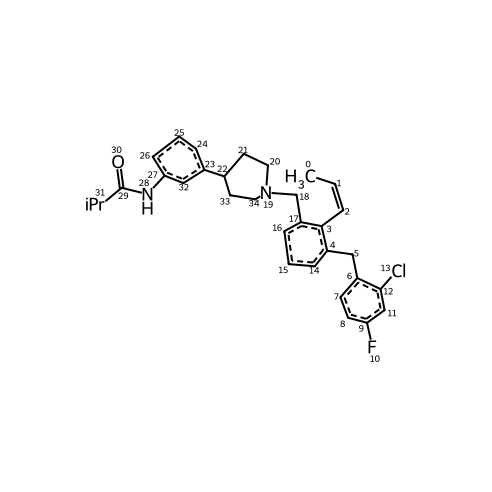 C/C=C\c1c(Cc2ccc(F)cc2Cl)cccc1CN1CCC(c2cccc(NC(=O)C(C)C)c2)CC1